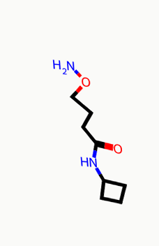 NOCCCC(=O)NC1CCC1